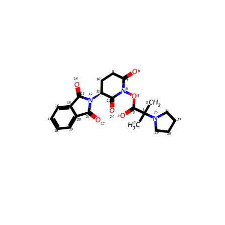 CC(C)(C(=O)ON1C(=O)CC[C@H](N2C(=O)c3ccccc3C2=O)C1=O)N1CCCC1